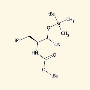 CC(C)C[C@H](NC(=O)OC(C)(C)C)C(C#N)O[Si](C)(C)C(C)(C)C